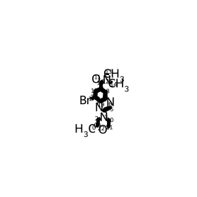 C[C@@H]1CN(c2cnc3cc(C(=O)N(C)C)cc(Br)c3n2)CCO1